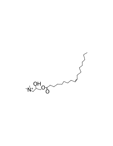 CCCCCCCC/C=C\CCCCCCCC(=O)OCC(O)C[N+](C)(C)C